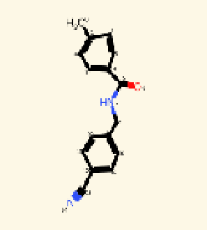 Cc1ccc(C(=O)NCc2ccc(C#N)cc2)cc1